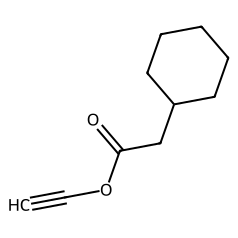 C#COC(=O)CC1CCCCC1